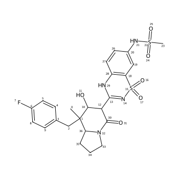 CC1(Cc2ccc(F)cc2)C(O)C(C2=NS(=O)(=O)c3cc(NS(C)(=O)=O)ccc3N2)C(=O)N2CCCC21